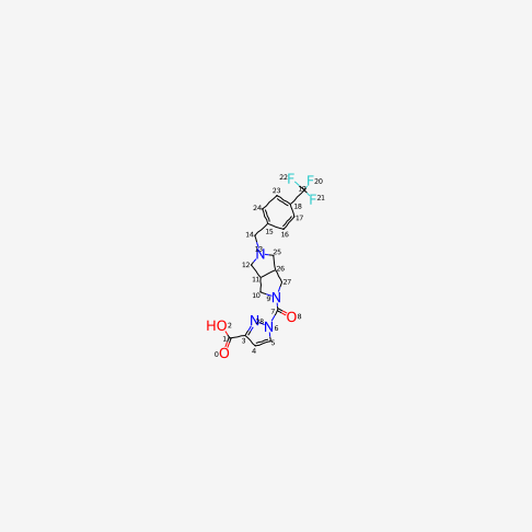 O=C(O)c1ccn(C(=O)N2CC3CN(Cc4ccc(C(F)(F)F)cc4)CC3C2)n1